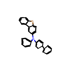 C1=CC(c2ccccc2)CC=C1N(c1ccccc1)c1ccc2sc3ccccc3c2c1